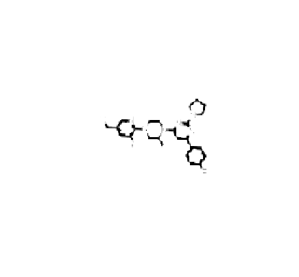 CC1CN(c2ncc(CO)cc2Cl)CCN1c1cc(-c2ccc(F)cc2)nc(N2CCCC2)n1